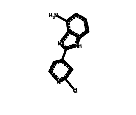 Nc1cccc2[nH]c(-c3ccnc(Cl)c3)nc12